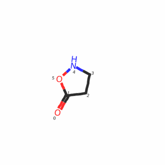 O=C1CCNO1